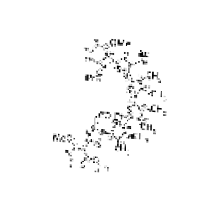 CCOC(=O)Cc1cc(-c2c(OC)cccc2OC(C)C)sc1-c1sc(-c2sc(-c3sc(-c4sc(-c5c(OC)cccc5OC(C)C)cc4CC(C)=O)c(C)c3C)c(C)c2C)c(C)c1C